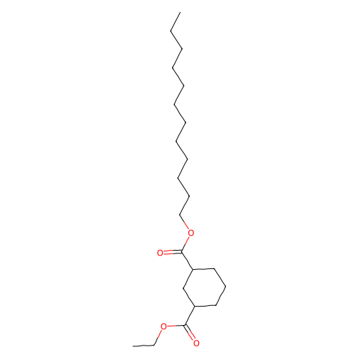 CCCCCCCCCCCCOC(=O)C1CCCC(C(=O)OCC)C1